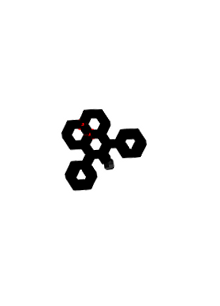 O=C(C(c1ccccc1)C1CCCCC1)C(c1ccccc1)C1CCCCC1